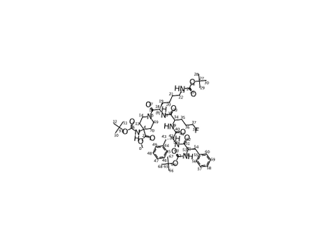 COC(=O)C1(NC(=O)OC(C)(C)C)CCN(C(=O)[C@@H](CCCCNC(=O)OC(C)(C)C)NC(=O)C(CCCF)NC(=O)[C@@H](Cc2ccccc2)NC(=O)[C@@H](Cc2ccccc2)NC(=O)OC(C)(C)C)CC1